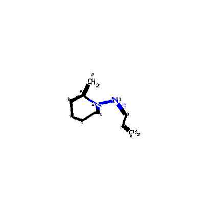 C=C/C=N\N1CCCCC1=C